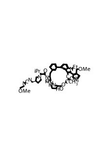 CCn1c(-c2cnccc2COC)c2c3cc(ccc31)-c1cccc(c1)C[C@H](NC(=O)C(C(C)C)N1CC[C@@H](CN=C=NCCOC)C1)C(=O)N1CCC[C@H](N1)C(=O)OCC(C)(C)C2